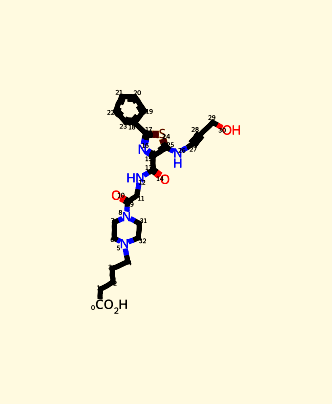 O=C(O)CCCCN1CCN(C(=O)CNC(=O)c2nc(-c3ccccc3)sc2NC#CCO)CC1